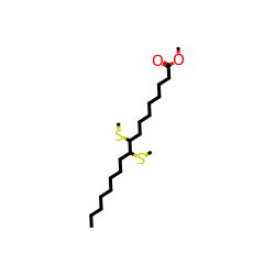 CCCCCCCCC(SC)C(CCCCCCCC(=O)OC)SC